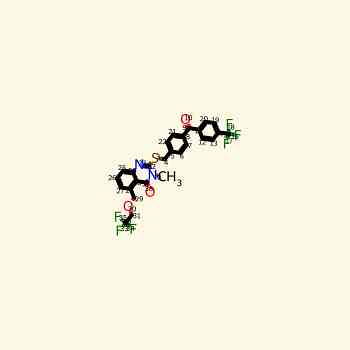 Cn1c(SCc2ccc(C(=O)c3ccc(C(F)(F)F)cc3)cc2)nc2cccc(COCC(F)(F)F)c2c1=O